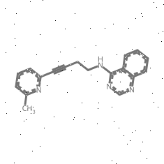 Cc1cccc(C#CCCNc2ncnc3ccccc23)n1